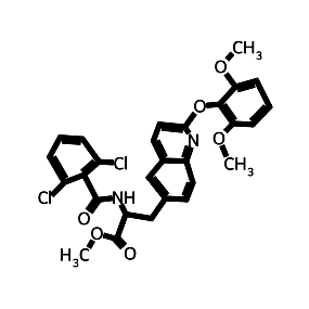 COC(=O)C(Cc1ccc2nc(Oc3c(OC)cccc3OC)ccc2c1)NC(=O)c1c(Cl)cccc1Cl